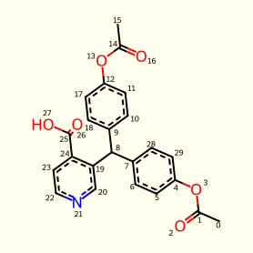 CC(=O)Oc1ccc(C(c2ccc(OC(C)=O)cc2)c2cnccc2C(=O)O)cc1